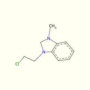 CN1CN(CCCl)c2ccccc21